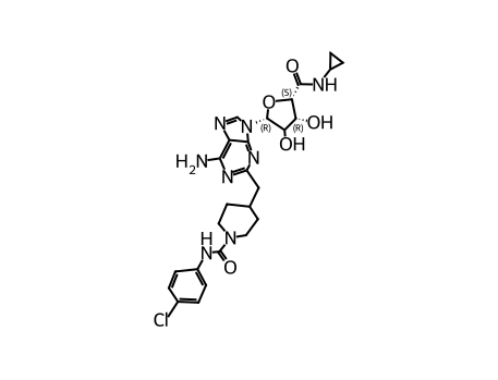 Nc1nc(CC2CCN(C(=O)Nc3ccc(Cl)cc3)CC2)nc2c1ncn2[C@@H]1O[C@H](C(=O)NC2CC2)[C@H](O)C1O